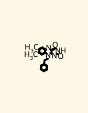 Cc1cc2nc3c(=O)[nH]c(=O)nc-3n(CCc3ccccc3)c2cc1C